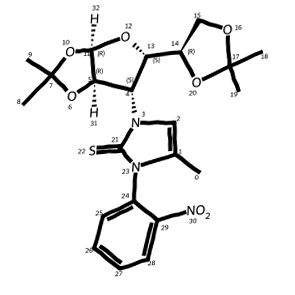 Cc1cn([C@@H]2[C@H]3OC(C)(C)O[C@H]3O[C@@H]2[C@H]2COC(C)(C)O2)c(=S)n1-c1ccccc1[N+](=O)[O-]